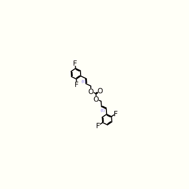 O=C(OC/C=C/c1cc(F)ccc1F)OC/C=C/c1cc(F)ccc1F